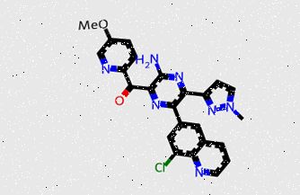 COc1ccc(C(=O)c2nc(-c3cc(Cl)c4ncccc4c3)c(-c3ccn(C)n3)nc2N)nc1